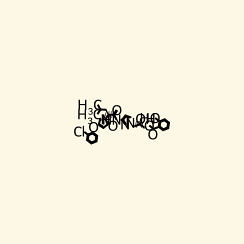 CC(C)C[C@@H](C(=O)Nc1ccn(C[C@@H](O)COC(=O)c2ccccc2O)n1)N1CC(Oc2ccccc2Cl)=CC1=O